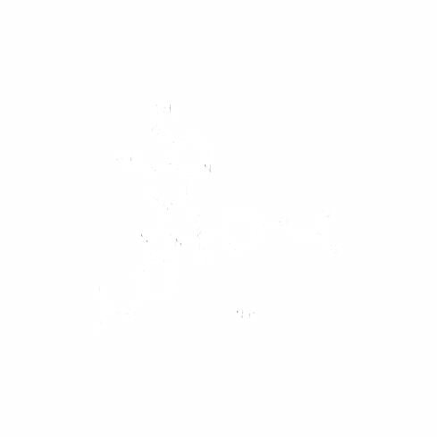 COc1ccnc(C[S+]([O-])c2nc3cc(OC(F)F)ccc3n2S(=O)(=O)c2ccc(OCC(=O)[O-])cc2)c1OC.[Na+]